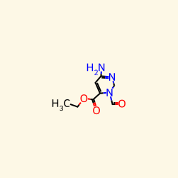 CCOC(=O)C1=CC(N)=NCN1C=O